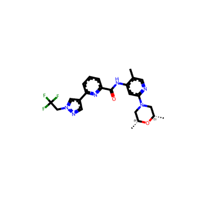 Cc1cnc(N2C[C@@H](C)O[C@@H](C)C2)cc1NC(=O)c1cccc(-c2cnn(CC(F)(F)F)c2)n1